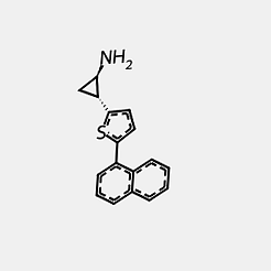 N[C@@H]1C[C@H]1c1ccc(-c2cccc3ccccc23)s1